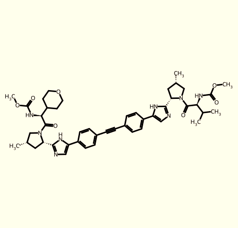 COC(=O)N[C@H](C(=O)N1C[C@@H](C)C[C@H]1c1ncc(-c2ccc(C#Cc3ccc(-c4cnc([C@@H]5C[C@H](C)CN5C(=O)[C@@H](NC(=O)OC)C5CCOCC5)[nH]4)cc3)cc2)[nH]1)C(C)C